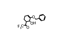 O=C(C1CCC=C(OCc2ccccc2)C1O)C(F)(F)F